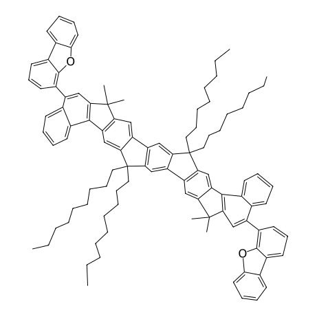 CCCCCCCCCC1(CCCCCCCCC)c2cc3c(cc2-c2cc4c(cc21)-c1cc2c(cc1C4(CCCCCCCC)CCCCCCCC)-c1c(cc(-c4cccc5c4oc4ccccc45)c4ccccc14)C2(C)C)C(C)(C)c1cc(-c2cccc4c2oc2ccccc24)c2ccccc2c1-3